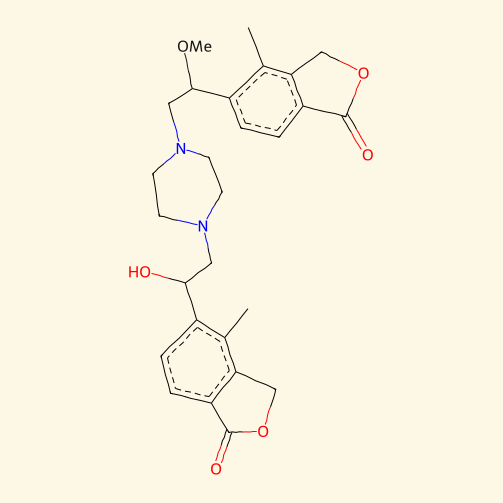 COC(CN1CCN(CC(O)c2ccc3c(c2C)COC3=O)CC1)c1ccc2c(c1C)COC2=O